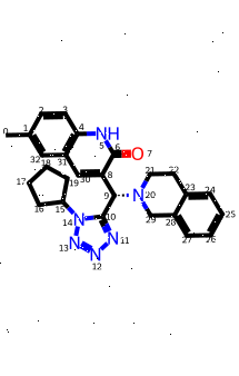 Cc1ccc2[nH]c(=O)c([C@@H](c3nnnn3C3CCCC3)N3CCc4ccccc4C3)cc2c1